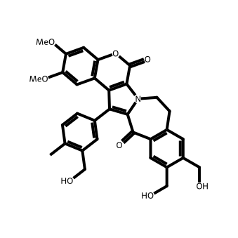 COc1cc2oc(=O)c3c(c(-c4ccc(C)c(CO)c4)c4n3CCc3cc(CO)c(CO)cc3C4=O)c2cc1OC